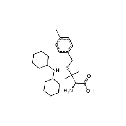 C1CCC(NC2CCCCC2)CC1.Cc1ccc(CSC(C)(C)[C@H](N)C(=O)O)cc1